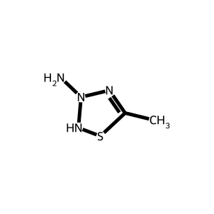 CC1=NN(N)NS1